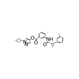 Cc1cccc(C2CC2C(=O)Nc2cccc(C(=O)Oc3cnn(C4CCC4)c3)c2)c1